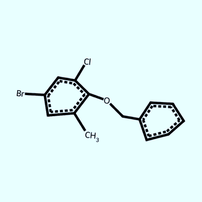 Cc1cc(Br)cc(Cl)c1OCc1ccccc1